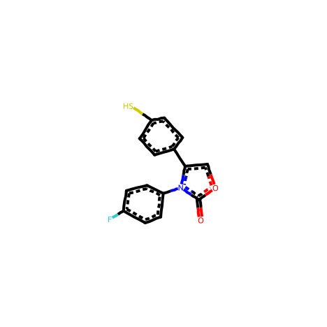 O=c1occ(-c2ccc(S)cc2)n1-c1ccc(F)cc1